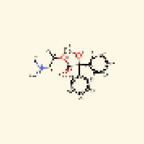 CCOC(C(=O)OC(C)CN(C)C)(c1ccccc1)c1ccccc1